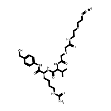 CC(C)[C@H](NC(=O)COCC(=O)NCCOCCN=[N+]=[N-])C(=O)N[C@@H](CCCCNC(N)=O)C(=O)Nc1ccc(CO)cc1